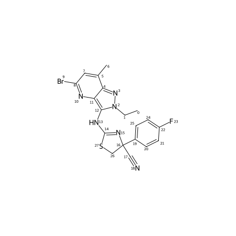 CCn1nc2c(C)cc(Br)nc2c1NC1=NC(C#N)(c2ccc(F)cc2)CS1